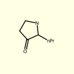 CCCC1[N]CCC1=O